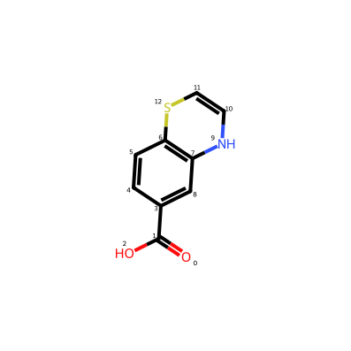 O=C(O)c1ccc2c(c1)NC=CS2